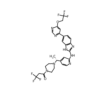 C[C@H](c1ccnc(Nc2nc3ccc(-c4cc(OCC(F)(F)F)ncn4)cc3[nH]2)c1)N1CCN(C(=O)CC(F)(F)F)CC1